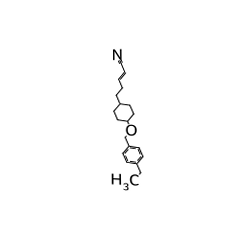 CCc1ccc(COC2CCC(CCC=CC#N)CC2)cc1